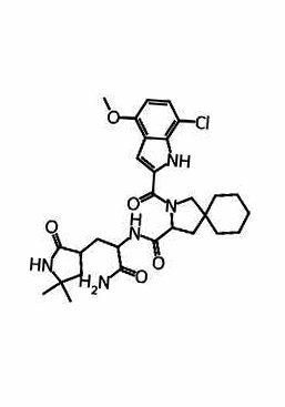 COc1ccc(Cl)c2[nH]c(C(=O)N3CC4(CCCCC4)CC3C(=O)NC(CC3CC(C)(C)NC3=O)C(N)=O)cc12